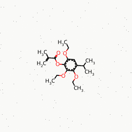 C=C(C)C(=O)Oc1c(OCC)cc(C(C)C)c(OCC)c1OCC